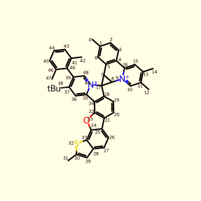 Cc1ccc2c(c1)C1C([n+]3cc(C)c(C)cc3-2)C12c1ccc3c(oc4c3ccc3cc(C)sc34)c1-c1cc(C(C)(C)C)c(-c3c(C)cccc3C)c[n+]12